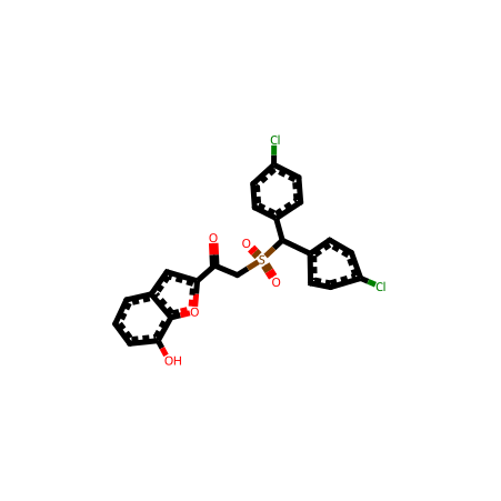 O=C(CS(=O)(=O)C(c1ccc(Cl)cc1)c1ccc(Cl)cc1)c1cc2cccc(O)c2o1